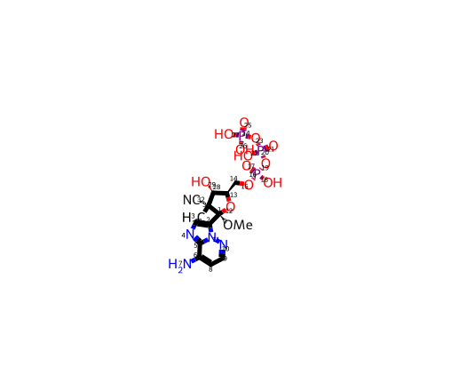 CO[C@@]1(c2cnc3c(N)ccnn23)O[C@H](COP(=O)(O)OP(=O)(O)OP(=O)(O)O)[C@@H](O)[C@@]1(C)C#N